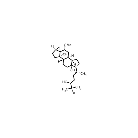 CO[C@@H]1C[C@H]2[C@@H]3CC[C@H]([C@H](C)CC[C@H](O)C(C)(C)O)[C@@]3(C)CC[C@@H]2[C@@]2(C)CC[C@H]3C[C@]312